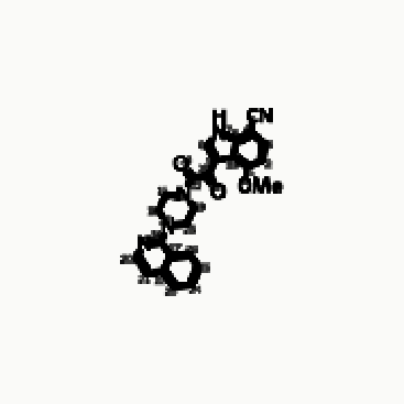 COc1ccc(C#N)c2[nH]cc(C(=O)C(=O)N3CCN(c4nccc5ccccc45)CC3)c12